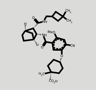 COc1cc(C#N)c(O[C@H]2CC[C@@](C)(C(=O)O)CC2)cc1C(=O)N[C@@H]1[C@H]2CC[C@H](C2)[C@@H]1C(=O)NCC1CC(C)(C)C1